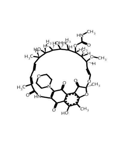 CNC(=O)O[C@H]1[C@H](C)[C@H](O)[C@H](C)[C@@H](O)[C@@H](C)/C=C/C=C(/C)C(=O)NC2=C(N3CCOCC3)C(=O)c3c(c(O)c(C)c4c3C(=O)[C@@](C)(O/C=C/[C@H](OC)[C@H]1C)O4)C2=O